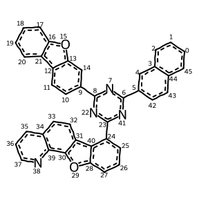 c1ccc2cc(-c3nc(-c4ccc5c(c4)oc4ccccc45)nc(-c4cccc5oc6c(ccc7cccnc76)c45)n3)ccc2c1